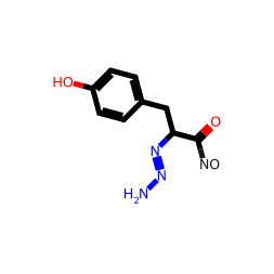 NN=NC(Cc1ccc(O)cc1)C(=O)N=O